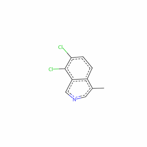 Cc1cncc2c(Cl)c(Cl)ccc12